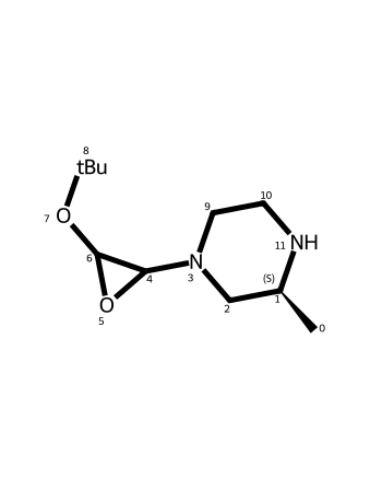 C[C@H]1CN(C2OC2OC(C)(C)C)CCN1